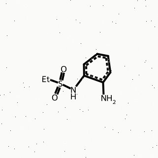 CCS(=O)(=O)Nc1ccccc1N